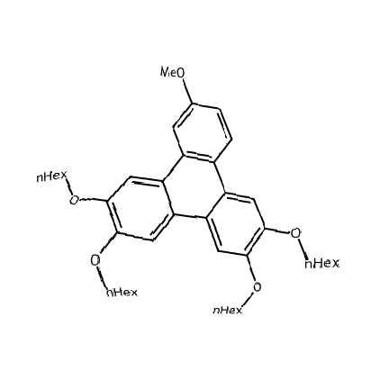 CCCCCCOc1cc2c3ccc(OC)cc3c3cc(OCCCCCC)c(OCCCCCC)cc3c2cc1OCCCCCC